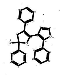 BrC1(c2ccccc2)CC(c2ccccc2)=C(c2ccoc2-c2ccccc2)O1